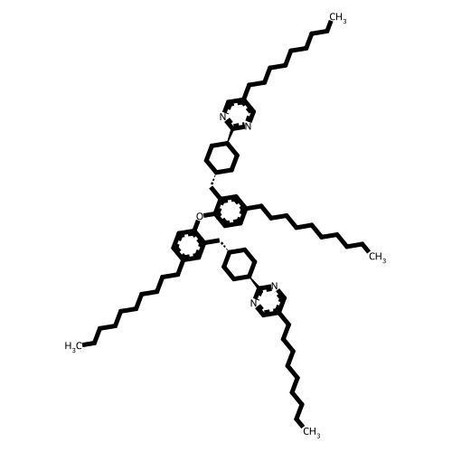 CCCCCCCCCCc1ccc(Oc2ccc(CCCCCCCCCC)cc2C[C@H]2CC[C@H](c3ncc(CCCCCCCCC)cn3)CC2)c(C[C@H]2CC[C@H](c3ncc(CCCCCCCCC)cn3)CC2)c1